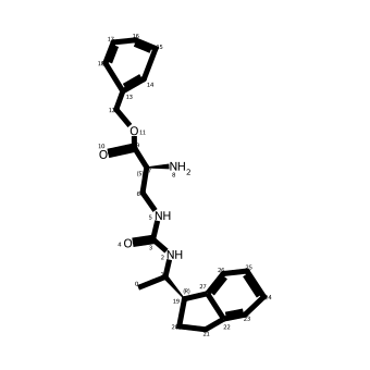 CC(NC(=O)NC[C@H](N)C(=O)OCc1ccccc1)[C@@H]1CCc2ccccc21